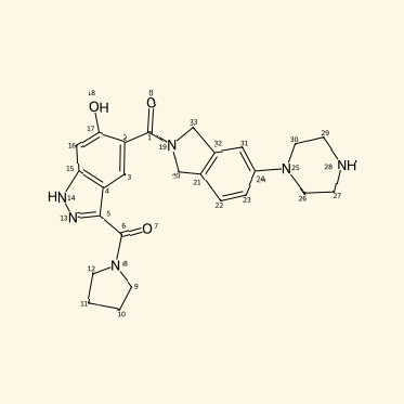 O=C(c1cc2c(C(=O)N3CCCC3)n[nH]c2cc1O)N1Cc2ccc(N3CCNCC3)cc2C1